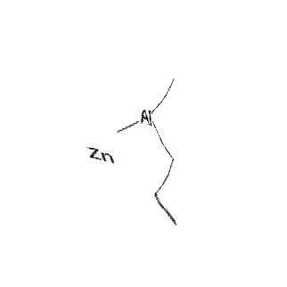 CC[CH2][Al]([CH3])[CH3].[Zn]